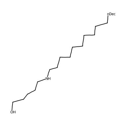 CCCCCCCCCCCCCCCCCCCCNCCCCCO